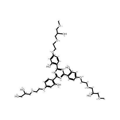 COCC(O)COCCOc1ccc(-c2nc(-c3ccc(OCCOCC(O)CO)cc3O)nc(-c3ccc(OCCOCC(O)COC)cc3O)n2)c(O)c1